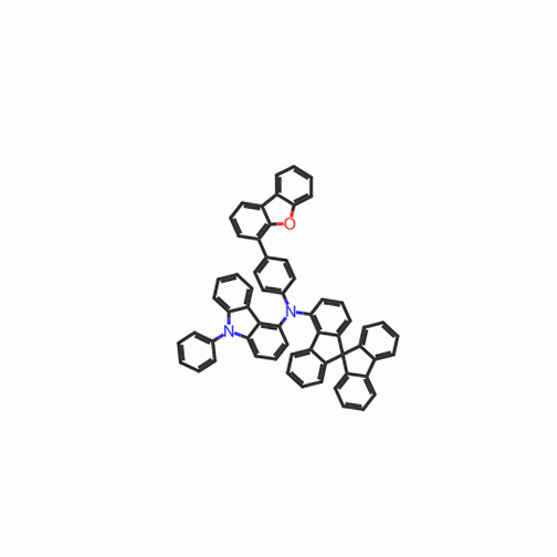 c1ccc(-n2c3ccccc3c3c(N(c4ccc(-c5cccc6c5oc5ccccc56)cc4)c4cccc5c4-c4ccccc4C54c5ccccc5-c5ccccc54)cccc32)cc1